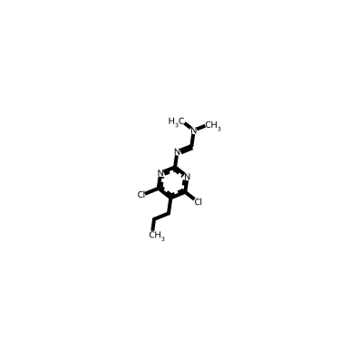 CCCc1c(Cl)nc(N=CN(C)C)nc1Cl